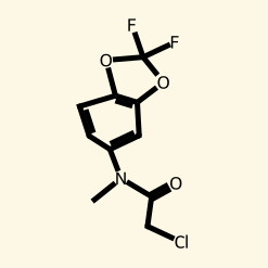 CN(C(=O)CCl)c1ccc2c(c1)OC(F)(F)O2